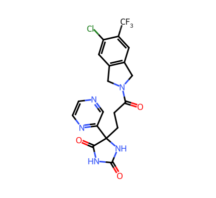 O=C1NC(=O)C(CCC(=O)N2Cc3cc(Cl)c(C(F)(F)F)cc3C2)(c2cnccn2)N1